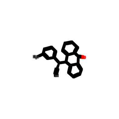 C#C[C@@H](c1cccc(C)c1)C1c2ccccc2C(=O)c2ccccc21